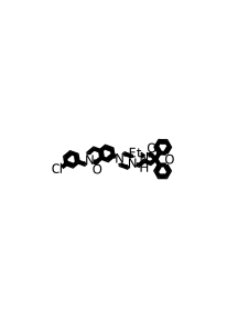 CCNC(=O)C1(CCCN2CCN(c3ccc4c(c3)C(=O)N(Cc3cccc(Cl)c3)CC4)CC2)c2ccccc2Oc2ccccc21